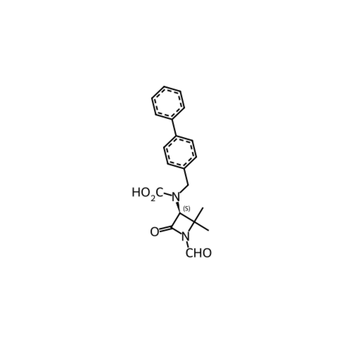 CC1(C)[C@H](N(Cc2ccc(-c3ccccc3)cc2)C(=O)O)C(=O)N1C=O